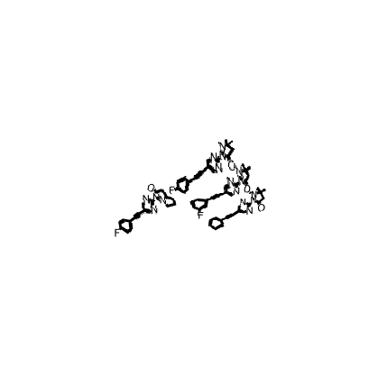 CN1N(c2ncc(C#Cc3ccc(F)cc3)cn2)C(=O)CC1(C)C.CN1N(c2ncc(C#Cc3cccc(F)c3)cn2)C(=O)CC1(C)C.CN1N(c2ncc(C#Cc3ccccc3)cn2)C(=O)CC1(C)C.O=C1CC2CCCN2N1c1ncc(C#Cc2ccc(F)cc2)cn1